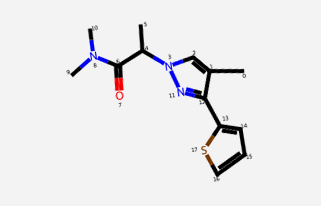 Cc1cn(C(C)C(=O)N(C)C)nc1-c1cccs1